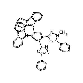 CN1N=C(c2cc(-n3c4ccccc4c4ccccc43)c(-n3c4ccccc4c4ccccc43)cc2-c2nnc(-c3ccccc3)o2)OC1c1ccccc1